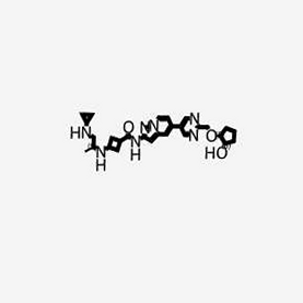 C[C@@H](CNC1CC1)NC1CC(C(=O)Nc2cc3cc(-c4cnc(CO[C@H]5CCC[C@@H]5O)nc4)ccn3n2)C1